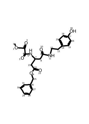 COC(=O)C(=O)NC(CC(=O)NCCc1ccc(O)cc1)CC(=O)OCc1ccccc1